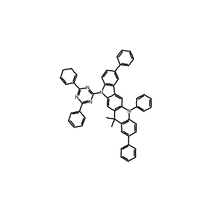 CC1(C)c2cc(-c3ccccc3)ccc2N(c2ccccc2)c2cc3c4cc(-c5ccccc5)ccc4n(-c4nc(C5=CCCC=C5)nc(-c5ccccc5)n4)c3cc21